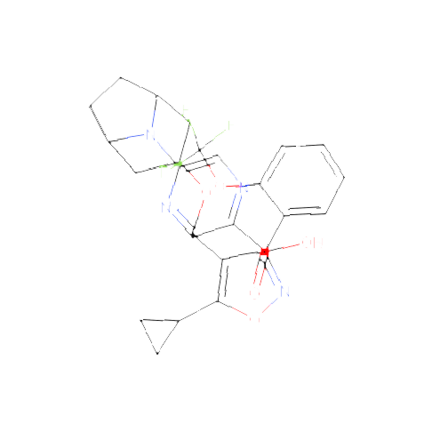 O=C(O)c1cnc(N2C3CCC2CC(OCc2c(-c4ccccc4OC(F)(F)F)noc2C2CC2)C3)cn1